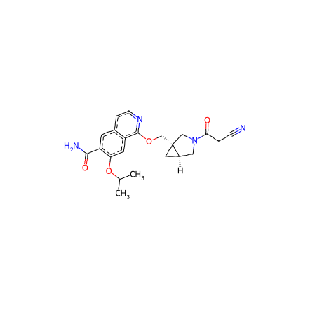 CC(C)Oc1cc2c(OC[C@@]34C[C@@H]3CN(C(=O)CC#N)C4)nccc2cc1C(N)=O